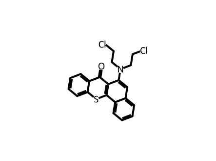 O=c1c2ccccc2sc2c1c(N(CCCl)CCCl)cc1ccccc12